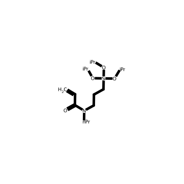 C=CC(=O)N(CCC)CCC[Si](OC(C)C)(OC(C)C)OC(C)C